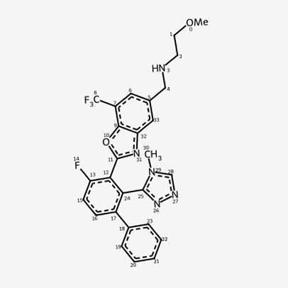 COCCNCc1cc(C(F)(F)F)c2oc(-c3c(F)ccc(-c4ccccc4)c3-c3nncn3C)nc2c1